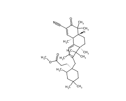 COC(=O)CC[C@]1(CCC(C)(C)[C@]2(C)CC[C@H]3C(C)(C)C(=O)C(C#N)=C[C@]3(C)/C2=C/C(C)=O)CCC(C)(C)CC1C